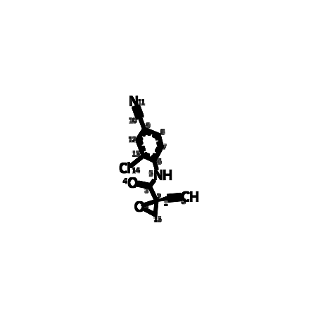 C#C[C@@]1(C(=O)Nc2ccc(C#N)cc2Cl)CO1